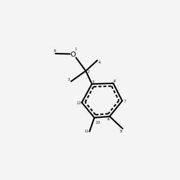 COC(C)(C)c1ccc(C)c(C)c1